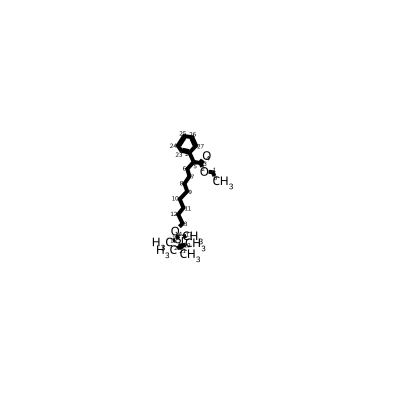 CCOC(=O)C(CCCCCCCCO[Si](C)(C)C(C)(C)C)c1ccccc1